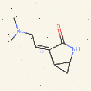 CN(C)C/C=C1\C(=O)NC2CC12